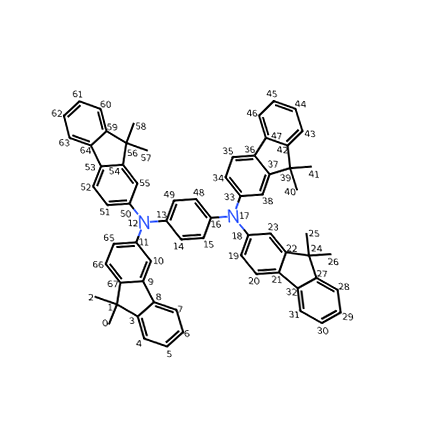 CC1(C)c2ccccc2-c2cc(N(c3ccc(N(c4ccc5c(c4)C(C)(C)c4ccccc4-5)c4ccc5c(c4)C(C)(C)c4ccccc4-5)cc3)c3ccc4c(c3)C(C)(C)c3ccccc3-4)ccc21